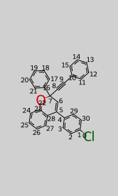 Clc1ccc(C2=CC(C#Cc3ccccc3)(c3ccccc3)Oc3ccccc32)cc1